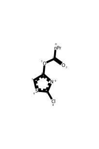 CCCC(=O)Oc1csc(Cl)n1